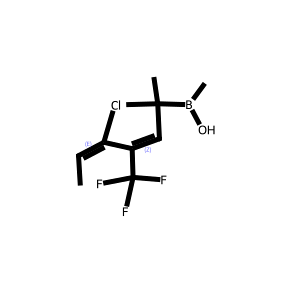 C/C=C(Cl)\C(=C/C(C)(C)B(C)O)C(F)(F)F